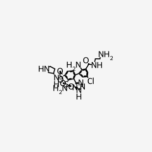 NCCNC(=O)c1cc(Cl)cc(-c2ccc(S(=O)(=O)N[C@@H]3CCNC3)c(S(N)(=O)=O)c2-c2nn[nH]n2)c1N